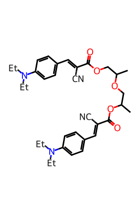 CCN(CC)c1ccc(/C=C(\C#N)C(=O)OCC(C)OCC(C)OC(=O)/C(C#N)=C/c2ccc(N(CC)CC)cc2)cc1